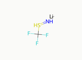 N=[SH]C(F)(F)F.[Li]